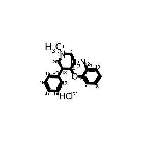 CN1CCC(Oc2ccccc2N)C(c2ccccc2)C1.Cl